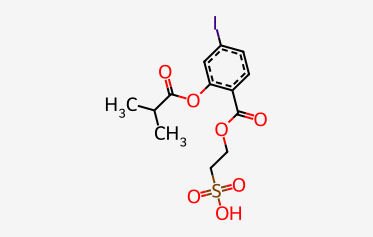 CC(C)C(=O)Oc1cc(I)ccc1C(=O)OCCS(=O)(=O)O